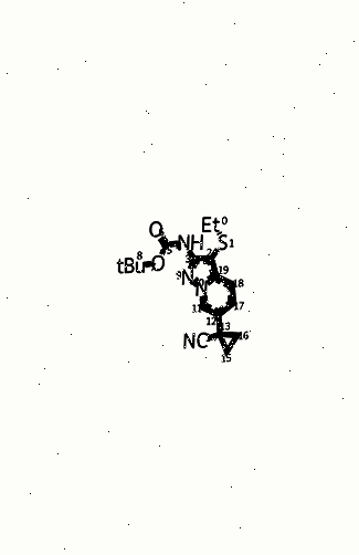 CCSc1c(NC(=O)OC(C)(C)C)nn2cc(C3(C#N)CC3)ccc12